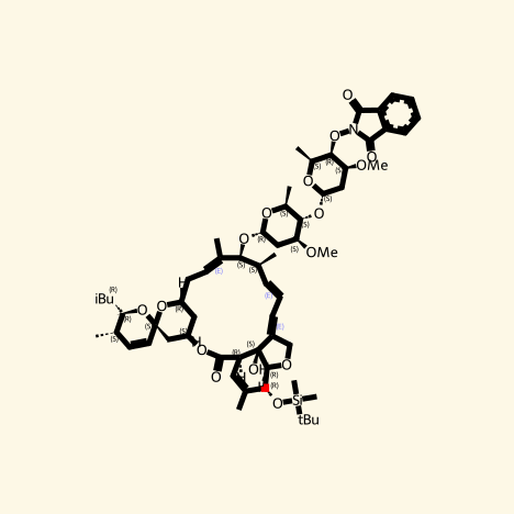 CC[C@@H](C)[C@H]1O[C@]2(C=C[C@@H]1C)C[C@@H]1C[C@@H](C/C=C(\C)[C@@H](O[C@H]3C[C@H](OC)[C@@H](O[C@H]4C[C@H](OC)[C@H](ON5C(=O)c6ccccc6C5=O)[C@H](C)O4)[C@H](C)O3)[C@@H](C)/C=C/C=C3\CO[C@@H]4[C@H](O[Si](C)(C)C(C)(C)C)C(C)=C[C@@H](C(=O)O1)[C@]34O)O2